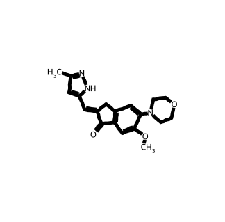 COc1cc2c(cc1N1CCOCC1)C/C(=C\c1cc(C)n[nH]1)C2=O